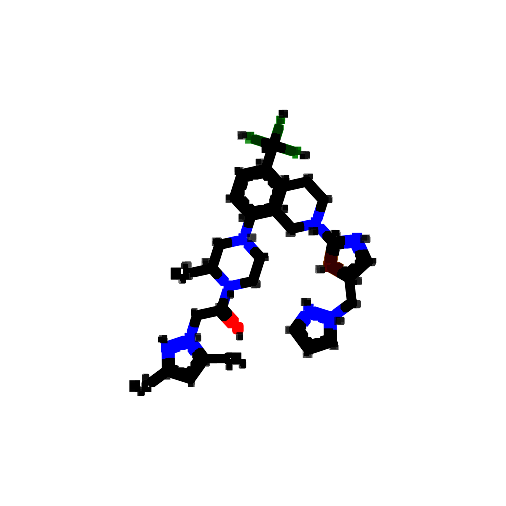 Cc1cc(C)n(CC(=O)N2CCN(c3ccc(C(F)(F)F)c4c3CN(c3ncc(Cn5cccn5)s3)CC4)CC2C)n1